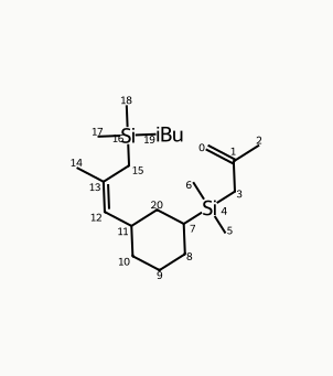 C=C(C)C[Si](C)(C)C1CCCC(/C=C(/C)C[Si](C)(C)C(C)CC)C1